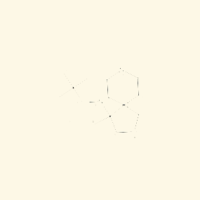 CC(C)(C)[S@@+]([O-])NC1(C)COCC12CCNCC2